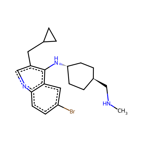 CNC[C@H]1CC[C@H](Nc2c(CC3CC3)cnc3ccc(Br)cc23)CC1